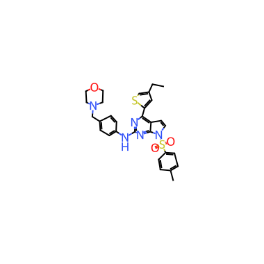 CCc1csc(-c2nc(Nc3ccc(CN4CCOCC4)cc3)nc3c2ccn3S(=O)(=O)c2ccc(C)cc2)c1